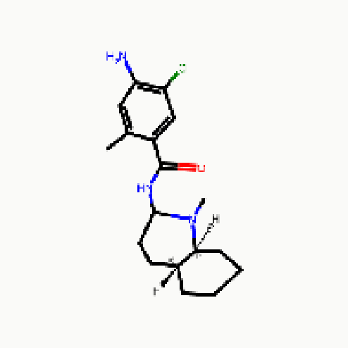 Cc1cc(N)c(Cl)cc1C(=O)NC1CC[C@H]2CCCC[C@@H]2N1C